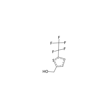 OCc1ccc(C(F)(F)C(F)(F)F)s1